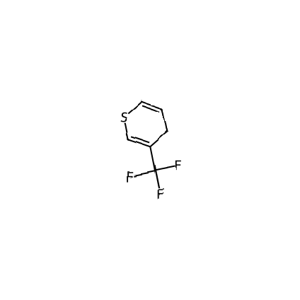 FC(F)(F)C1=CSC=CC1